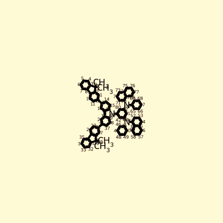 CC1(C)c2ccccc2-c2ccc(-c3ccc4c(c3)c3cc(-c5ccc6c(c5)C(C)(C)c5ccccc5-6)ccc3n4-c3cc(N(c4ccccc4)c4cccc5ccccc45)cc(N(c4ccccc4)c4cccc5ccccc45)c3)cc21